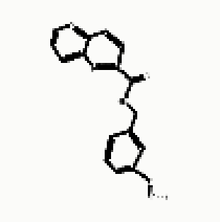 CCCCCOc1cccc(CNC(=O)c2ccc3ncccc3n2)c1